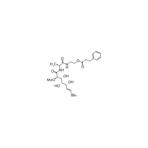 CO[C@@H](C(=O)N[C@@H](C)C(=O)NCCOC(=O)CCc1ccccc1)[C@H](O)[C@@H](O)[C@H](O)/C=C/C(C)(C)C